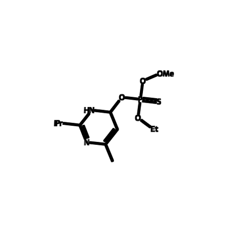 CCOP(=S)(OOC)OC1C=C(C)N=C(C(C)C)N1